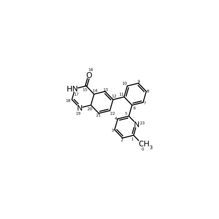 Cc1cccc(-c2ccccc2C2=CC3C(=O)NC=NC3C=C2)n1